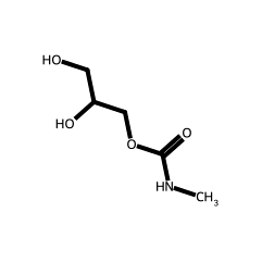 CNC(=O)OCC(O)CO